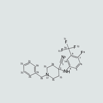 N#CC1(Nc2ccc(F)c(C(F)(F)F)c2)CCN(Cc2ccccc2)CC1